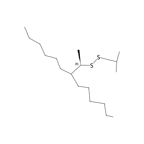 CCCCCCC(CCCCCC)[C@@H](C)SSC(C)C